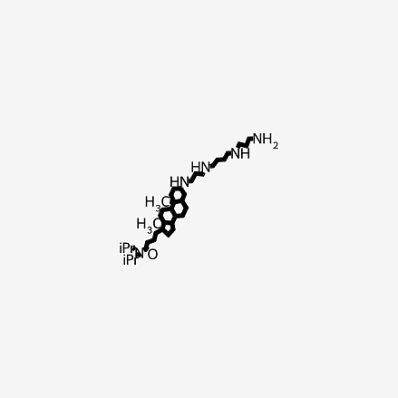 CC(C)N(C(=O)CCCC1CCC2C3CCC4CC(NCCCNCCCCNCCCN)CCC4(C)C3CCC12C)C(C)C